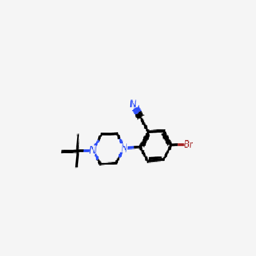 CC(C)(C)N1CCN(c2ccc(Br)cc2C#N)CC1